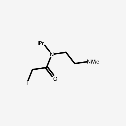 CNCCN(C(=O)CI)C(C)C